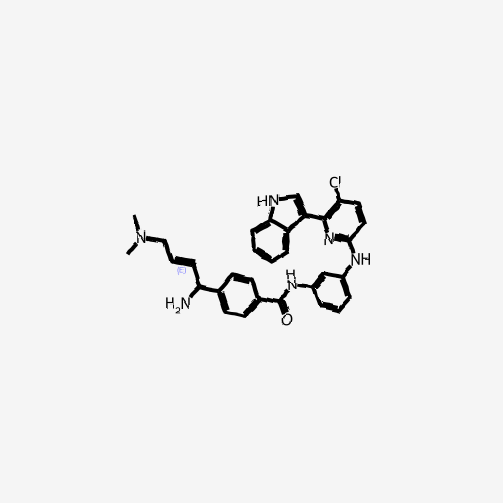 CN(C)C/C=C/C(N)c1ccc(C(=O)Nc2cccc(Nc3ccc(Cl)c(-c4c[nH]c5ccccc45)n3)c2)cc1